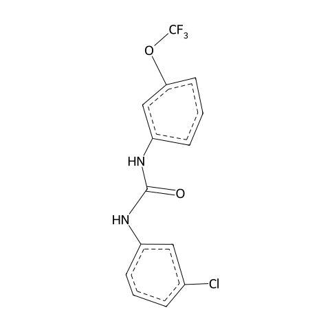 O=C(Nc1cccc(Cl)c1)Nc1cccc(OC(F)(F)F)c1